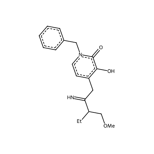 CCC(COC)C(=N)Cc1ccn(Cc2ccccc2)c(=O)c1O